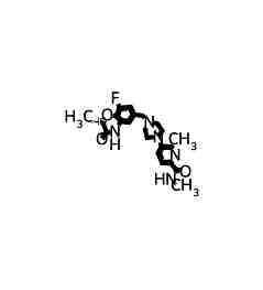 CC[C@@H]1Oc2c(F)cc(CN3CCN(c4ccc(C(=O)NC)nc4C)CC3)cc2NC1=O